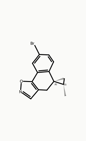 C[C@H]1C[C@@]12Cc1cnoc1-c1cc(Br)ccc12